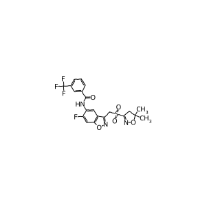 CC1(C)CC(S(=O)(=O)Cc2noc3cc(F)c(NC(=O)c4cccc(C(F)(F)F)c4)cc23)=NO1